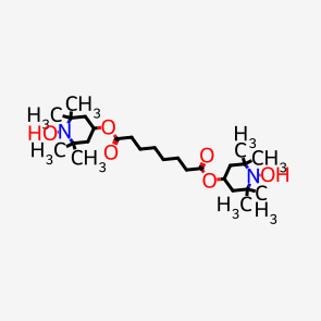 CC1(C)CC(OC(=O)CCCCCCC(=O)OC2CC(C)(C)N(O)C(C)(C)C2)CC(C)(C)N1O